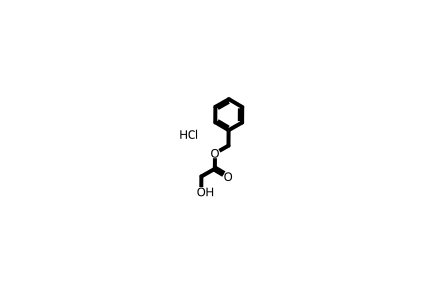 Cl.O=C(CO)OCc1ccccc1